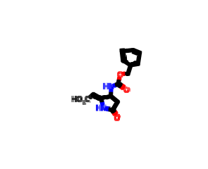 O=C(O)/C=C1\NC(=O)CC1NC(=O)OCc1ccccc1